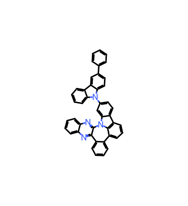 c1ccc(-c2ccc3c(c2)c2ccccc2n3-c2ccc3c4cccc5c4n(c3c2)-c2nc3ccccc3nc2-c2ccccc2-5)cc1